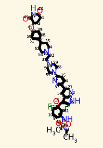 CCN(C)S(=O)(=O)Nc1ccc(F)c(C(=O)c2c[nH]c3ncc(-c4ccc(N5CCN(CCN6CCC(c7ccc(OC8CCC(=O)NC8=O)cc7)CC6)CC5)nc4)cc23)c1F